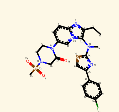 CCc1nc2ccc(N3CCN(S(C)(=O)=O)CC3=O)cn2c1N(C)c1nc(-c2ccc(F)cc2)cs1